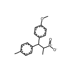 COc1ccc(C(c2ccc(C)cc2)C(C)[N+](=O)[O-])cc1